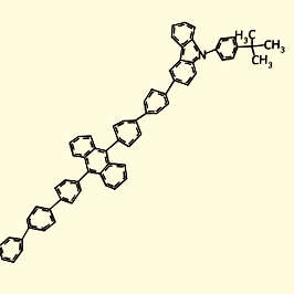 CC(C)(C)c1ccc(-n2c3ccccc3c3cc(-c4ccc(-c5ccc(-c6c7ccccc7c(-c7ccc(-c8ccc(-c9ccccc9)cc8)cc7)c7ccccc67)cc5)cc4)ccc32)cc1